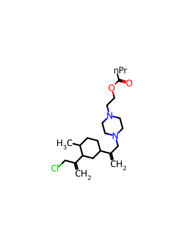 C=C(CN1CCN(CCOC(=O)CCC)CC1)C1CCC(C)C(C(=C)CCl)C1